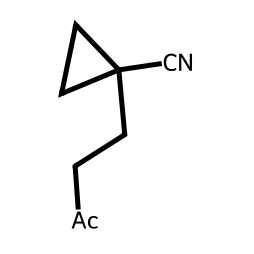 CC(=O)CCC1(C#N)CC1